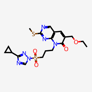 CCOCc1cc2cnc(SC)nc2n(CCCS(=O)(=O)n2cnc(C3CC3)n2)c1=O